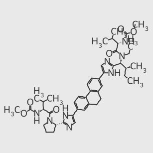 CC[C@H](C)[C@@H](c1ncc(-c2ccc3c(c2)CCc2cc(-c4cnc([C@@H]5CCCN5C(=O)[C@@H](NC(=O)OC)C(C)C)[nH]4)ccc2-3)[nH]1)N(CC)C(=O)[C@@H](NC(=O)OC)C(C)C